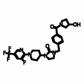 O=C(c1ccc(CN2CCN(C3CCN(c4ncc(C(F)(F)F)cc4F)CC3)C2=O)cc1)N1CCC(O)C1